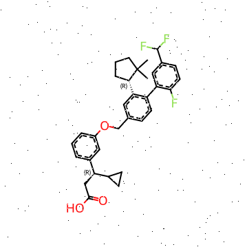 CC1(C)CCC[C@H]1c1cc(COc2cccc([C@H](CC(=O)O)C3CC3)c2)ccc1-c1cc(C(F)F)ccc1F